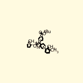 Cc1cccc(N2CCc3c(nc(OC[C@@H]4CCCN4C)nc3N3CCN(C(=O)OC(C)(C)C)CC3)C2)c1C